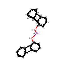 c1ccc2c(c1)-c1cccc(OPOc3cccc4c3-c3ccccc3-4)c1-2